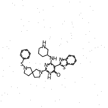 O=c1[nH]c(N2CCC3(CCN(Sc4ccccc4)C3)C2)nc(NC2CCCNC2)c1-c1nc2ccccc2s1